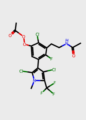 CC(=O)NCCc1c(F)c(-c2c(Cl)c(C(F)(F)F)n(C)c2Cl)cc(OOC(C)=O)c1Cl